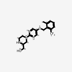 Cc1cccc(C(F)(F)F)c1COc1cnc(N2CCNC(CO)C2)nc1